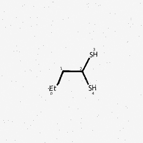 C[CH]CC(S)S